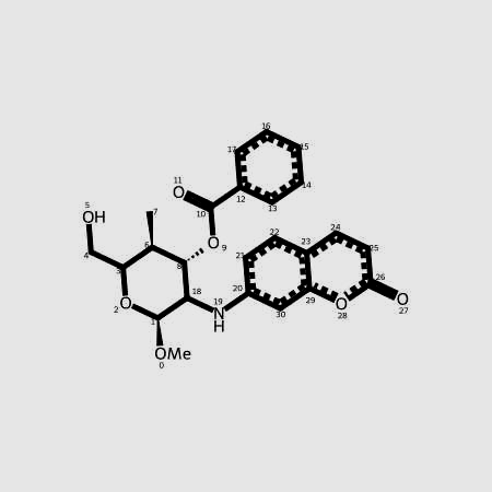 CO[C@H]1OC(CO)[C@@H](C)[C@H](OC(=O)c2ccccc2)C1Nc1ccc2ccc(=O)oc2c1